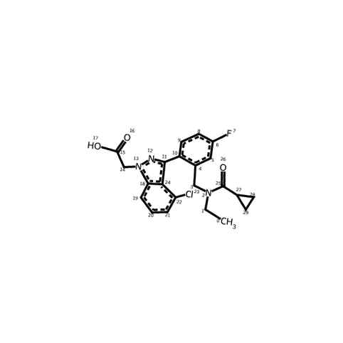 CCN(Cc1cc(F)ccc1-c1nn(CC(=O)O)c2cccc(Cl)c12)C(=O)C1CC1